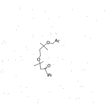 CC(=O)COC(C)(C)CCOC(C)(C)CC(=O)C(C)C